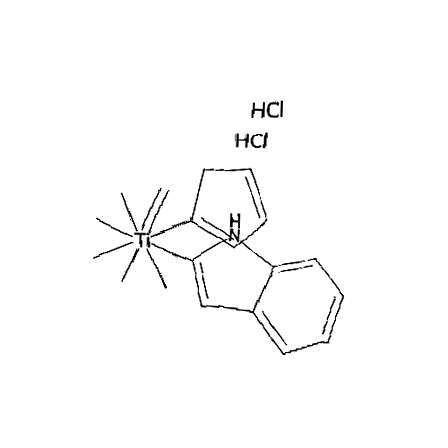 Cl.Cl.[CH2]=[Ti]([CH3])([CH3])([CH3])([CH3])([CH3])([C]1=CC=CC1)[c]1cc2ccccc2[nH]1